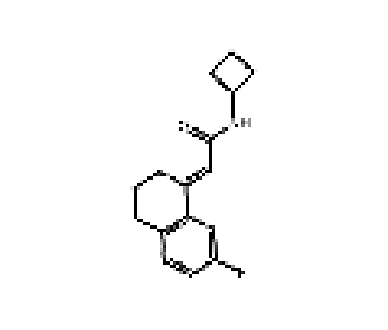 O=C(/C=C1\CCCc2ccc(F)cc21)NC1CCC1